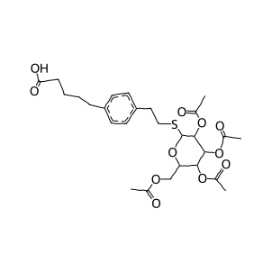 CC(=O)OCC1OC(SCCc2ccc(CCCCC(=O)O)cc2)C(OC(C)=O)C(OC(C)=O)C1OC(C)=O